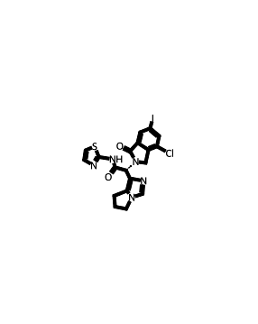 O=C(Nc1nccs1)[C@@H](c1ncn2c1CCC2)N1Cc2c(Cl)cc(I)cc2C1=O